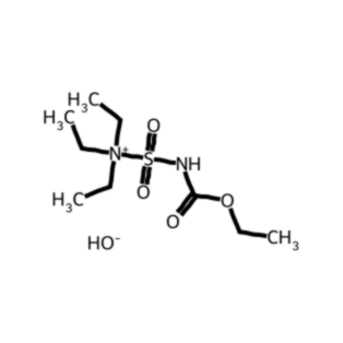 CCOC(=O)NS(=O)(=O)[N+](CC)(CC)CC.[OH-]